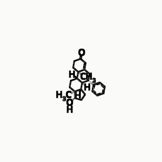 C[C@]12CC[C@H]3[C@@H]([C@@H](c4ccccc4)CC4=CC(=O)CC[C@@]43C)[C@@H]1CC[C@@H]2O